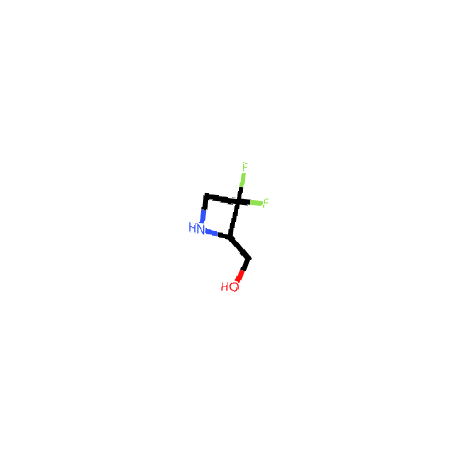 OCC1NCC1(F)F